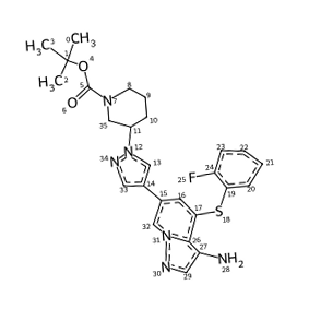 CC(C)(C)OC(=O)N1CCCC(n2cc(-c3cc(Sc4ccccc4F)c4c(N)cnn4c3)cn2)C1